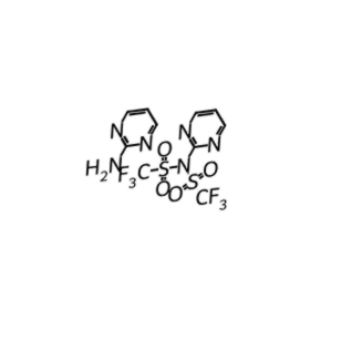 Nc1ncccn1.O=S(=O)(N(c1ncccn1)S(=O)(=O)C(F)(F)F)C(F)(F)F